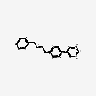 c1ccc(CNCCc2ccc(-c3cncnc3)cc2)cc1